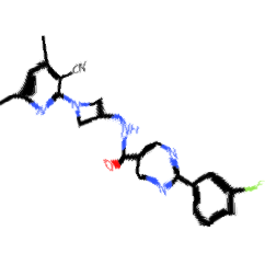 Cc1cc(C)c(C#N)c(N2CC(NC(=O)c3cnc(-c4cccc(F)c4)nc3)C2)n1